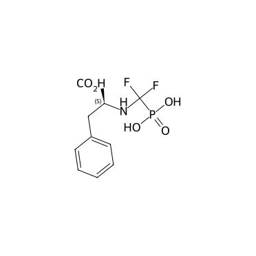 O=C(O)[C@H](Cc1ccccc1)NC(F)(F)P(=O)(O)O